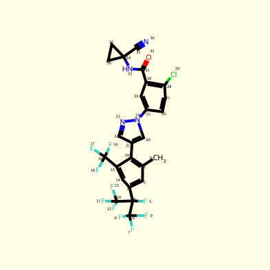 Cc1cc(C(F)(C(F)(F)F)C(F)(F)F)cc(C(F)(F)F)c1-c1cnn(-c2ccc(Cl)c(C(=O)NC3(C#N)CC3)c2)c1